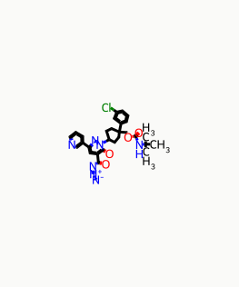 CC(C)(C)NC(=O)OCC1(c2cccc(Cl)c2)CCC(n2nc(-c3cccnc3)cc(C(=O)N=[N+]=[N-])c2=O)CC1